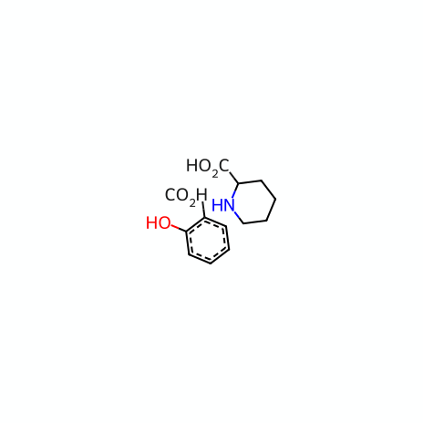 O=C(O)C1CCCCN1.O=C(O)c1ccccc1O